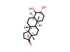 C[C@]12CC[C@@H](O)C(O)[C@@H]1CC[C@@H]1[C@@H]2CC[C@]2(C)C(=O)CC[C@@H]12